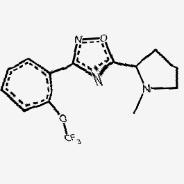 CN1CCCC1c1nc(-c2ccccc2OC(F)(F)F)no1